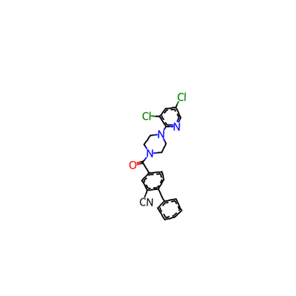 N#Cc1cc(C(=O)N2CCN(c3ncc(Cl)cc3Cl)CC2)ccc1-c1ccccc1